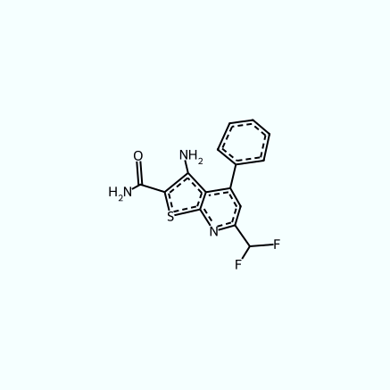 NC(=O)c1sc2nc(C(F)F)cc(-c3ccccc3)c2c1N